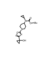 CC(C)(C)OC(=O)N(C1CC1)C1CCN(c2nc(C3(O)CC3)no2)CC1